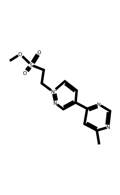 COS(=O)(=O)CC[n+]1ccc(-c2cc(C)ncn2)cn1